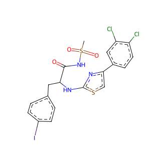 CS(=O)(=O)NC(=O)C(Cc1ccc(I)cc1)Nc1nc(-c2ccc(Cl)c(Cl)c2)cs1